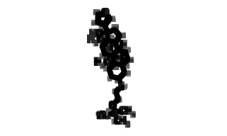 CC(C)(C)[Si](C)(C)OCCS[C@H]1CC[C@@]2(C)C(=CC[C@@H]3[C@@H]2CC[C@@]2(C)[C@H]3CC[C@@]2(O)c2ccoc2)C1